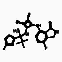 BC(Nc1c(Nc2ccc(F)c3c2C(=O)NC3)c(=O)c1=O)(c1ccc(C)o1)C(C)(C)C